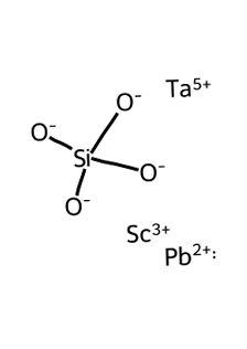 [O-][Si]([O-])([O-])[O-].[Pb+2].[Sc+3].[Ta+5]